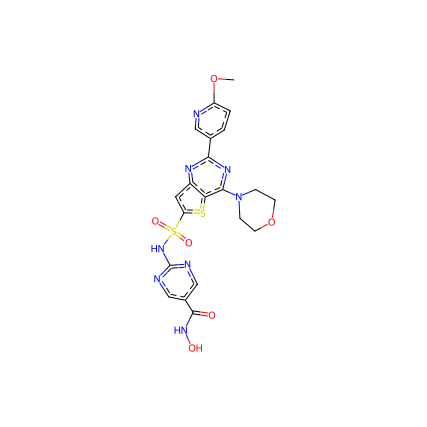 COc1ccc(-c2nc(N3CCOCC3)c3sc(S(=O)(=O)Nc4ncc(C(=O)NO)cn4)cc3n2)cn1